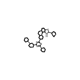 c1ccc(-c2cccc(-c3nc(-c4ccccc4)nc(-c4ccc5c(ccc6ccc7c(c65)NC(c5ccccc5)S7)c4)n3)c2)cc1